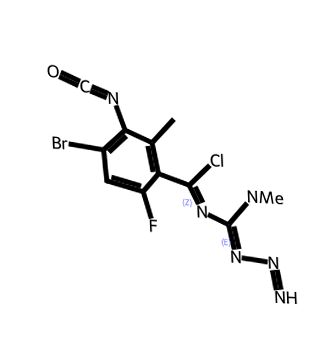 CNC(/N=C(\Cl)c1c(F)cc(Br)c(N=C=O)c1C)=N\N=N